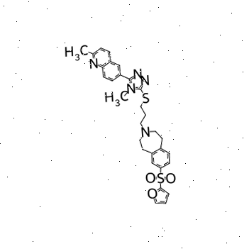 Cc1ccc2cc(-c3nnc(SCCCN4CCc5ccc(S(=O)(=O)c6ccco6)cc5CC4)n3C)ccc2n1